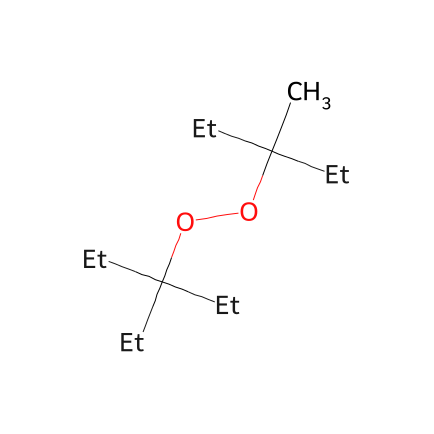 CCC(C)(CC)OOC(CC)(CC)CC